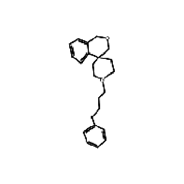 c1ccc(CCCCN2CCC3(CC2)COCc2ccccc23)cc1